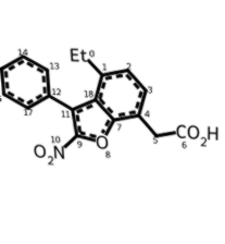 CCc1ccc(CC(=O)O)c2oc([N+](=O)[O-])c(-c3ccccc3)c12